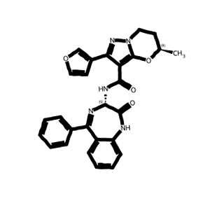 C[C@@H]1CCn2nc(-c3ccoc3)c(C(=O)N[C@H]3N=C(c4ccccc4)c4ccccc4NC3=O)c2O1